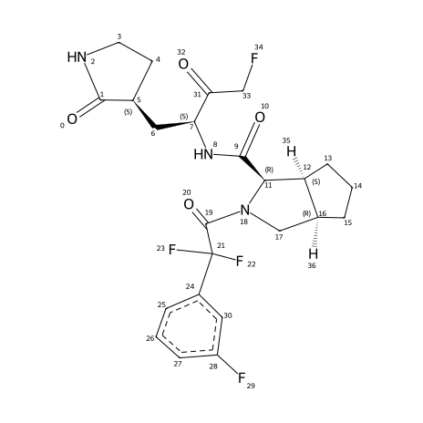 O=C1NCC[C@H]1C[C@H](NC(=O)[C@H]1[C@H]2CCC[C@H]2CN1C(=O)C(F)(F)c1cccc(F)c1)C(=O)CF